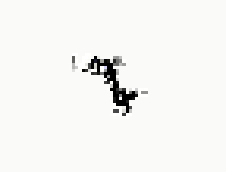 CC/C(=C/C=C/C(O)(C(F)(F)F)C(F)(F)F)c1csc(CCc2ccc(CO)c(CO)c2)c1